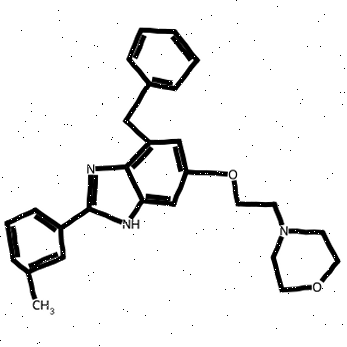 Cc1cccc(-c2nc3c(Cc4ccccc4)cc(OCCN4CCOCC4)cc3[nH]2)c1